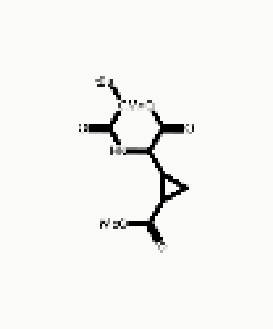 COC(=O)C1CC1C(NC(=O)OC(C)(C)C)C(=O)OC